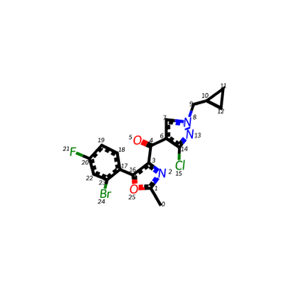 Cc1nc(C(=O)c2cn(CC3CC3)nc2Cl)c(-c2ccc(F)cc2Br)o1